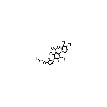 CCn1c(C)c(-n2ccc(OCC(F)F)n2)c(=O)c(C(=O)O)c1-c1ccc(Cl)c(Cl)c1